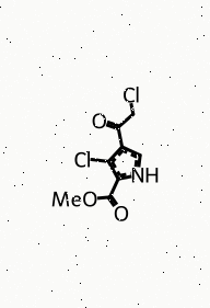 COC(=O)c1[nH]cc(C(=O)CCl)c1Cl